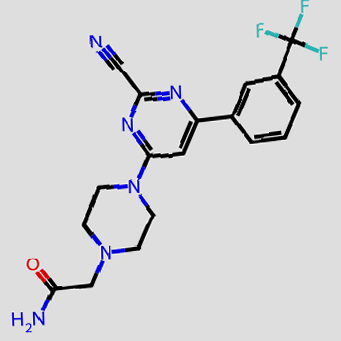 N#Cc1nc(-c2cccc(C(F)(F)F)c2)cc(N2CCN(CC(N)=O)CC2)n1